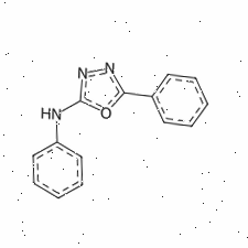 c1ccc(Nc2nnc(-c3ccccc3)o2)cc1